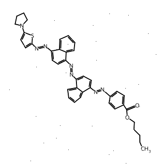 CCCCCOC(=O)c1ccc(/N=N/c2ccc(/N=N/c3ccc(/N=N/c4ccc(N5CCCC5)s4)c4ccccc34)c3ccccc23)cc1